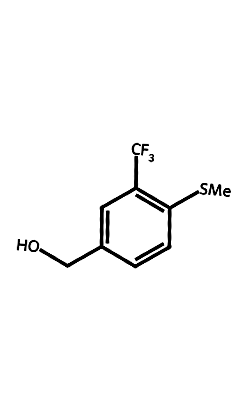 CSc1ccc(CO)cc1C(F)(F)F